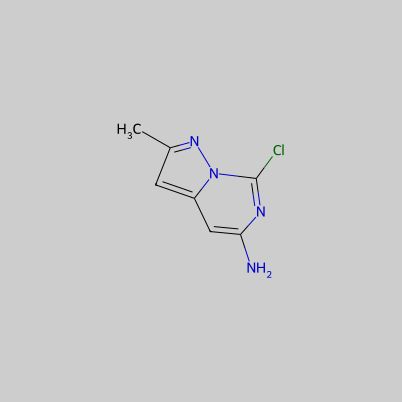 Cc1cc2cc(N)nc(Cl)n2n1